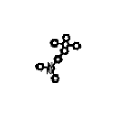 c1ccc(-c2cc(-c3ccc(-c4ccc5c(-c6ccccc6)c6ccccc6c(-c6ccccc6)c5c4)cc3)nc(-c3ccccc3)n2)cc1